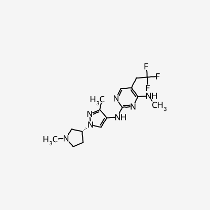 CNc1nc(Nc2cn([C@@H]3CCN(C)C3)nc2C)ncc1CC(F)(F)F